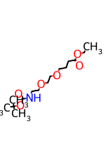 CCOC(=O)CCCOCCOCCNC(=O)OC(C)(C)C